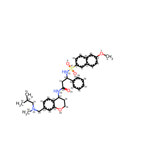 COc1ccc2cc(S(=O)(=O)NC(CC(=O)NC3CCOc4cc(CN(C)CC(C)C)ccc43)c3ccccc3)ccc2c1